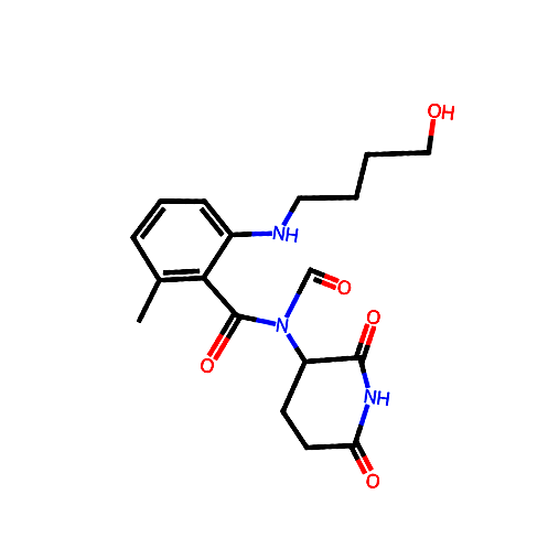 Cc1cccc(NCCCCO)c1C(=O)N(C=O)C1CCC(=O)NC1=O